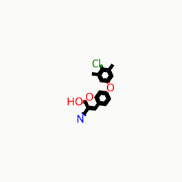 Cc1cc(Oc2ccc(C=C(C#N)C(=O)O)cc2)cc(C)c1Cl